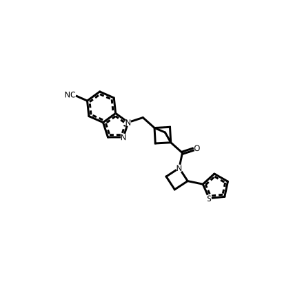 N#Cc1ccc2c(cnn2CC23CC(C(=O)N4CCC4c4cccs4)(C2)C3)c1